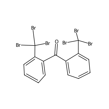 O=C(c1ccccc1C(Br)(Br)Br)c1ccccc1C(Br)(Br)Br